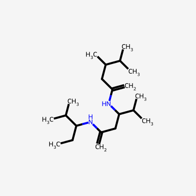 C=C(CC(NC(=C)CC(C)C(C)C)C(C)C)NC(CC)C(C)C